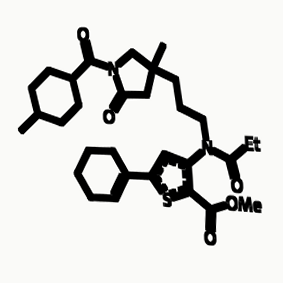 CCC(=O)N(CCCC1(C)CC(=O)N(C(=O)C2CCC(C)CC2)C1)c1cc(C2=CCCCC2)sc1C(=O)OC